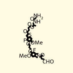 COc1cc2c(c(F)c1OCCCOc1c(OC)cc3sc(C(=O)CCC(=O)OC(C)CNC(=O)CN)cc3c1F)CN(C(=O)CCC=O)C2